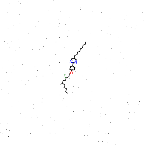 CCCCCCCCCc1cnc(-c2ccc(OCCC(F)CCC(C)CCCCC)cc2)nc1